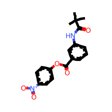 CC(C)(C)C(=O)Nc1cccc(C(=O)Oc2ccc([N+](=O)[O-])cc2)c1